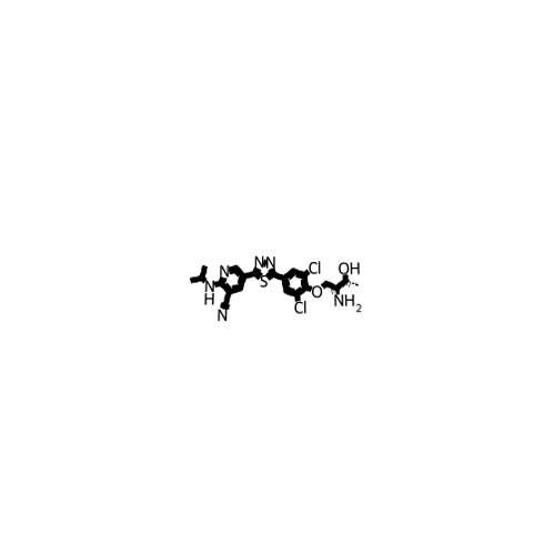 CC(C)Nc1ncc(-c2nnc(-c3cc(Cl)c(OC[C@H](N)[C@@H](C)O)c(Cl)c3)s2)cc1C#N